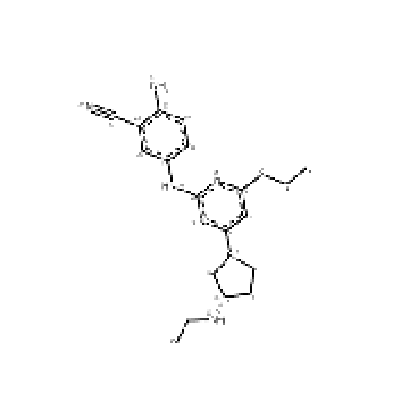 CCCc1cc(N2CC[C@H](NCC)C2)nc(Nc2ccc(N)c(C#N)c2)n1